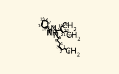 C=C/C=C\CC/C=N/C(=N\C(=N)C1=CC=CCC1)C(/C=C)=C/C=C